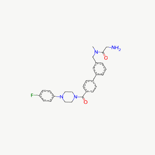 CN(Cc1cccc(-c2ccc(C(=O)N3CCN(c4ccc(F)cc4)CC3)cc2)c1)C(=O)CN